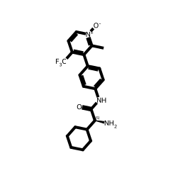 Cc1c(-c2ccc(NC(=O)[C@@H](N)C3CCCCC3)cc2)c(C(F)(F)F)cc[n+]1[O-]